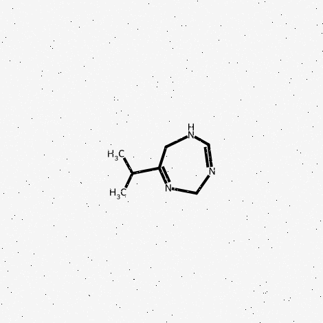 CC(C)C1=NCN=CNC1